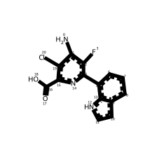 Nc1c(F)c(-c2cccc3cc[nH]c23)nc(C(=O)O)c1Cl